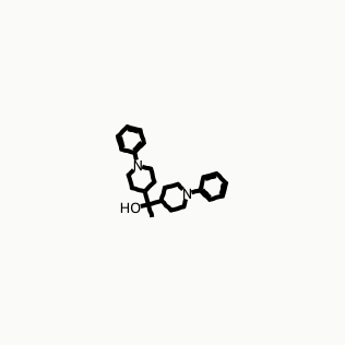 CC(O)(C1CCN(c2ccccc2)CC1)C1CCN(c2ccccc2)CC1